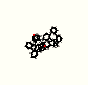 c1ccc(N(c2ccc3c(c2)C2(c4ccccc4-c4ccccc4-3)c3ccccc3-c3cc4c(cc32)oc2ccccc24)c2cccc3c2N(c2ccccc2)c2ccccc2-c2ccccc2-3)cc1